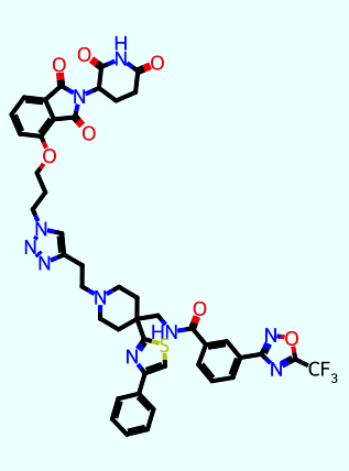 O=C1CCC(N2C(=O)c3cccc(OCCCn4cc(CCN5CCC(CNC(=O)c6cccc(-c7noc(C(F)(F)F)n7)c6)(c6nc(-c7ccccc7)cs6)CC5)nn4)c3C2=O)C(=O)N1